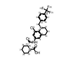 O=C(Nc1cc(Cl)c2c(c1)CCCN2Cc1ccc(C(F)(F)F)cc1)[C@H]1CCCCN1C(=O)O